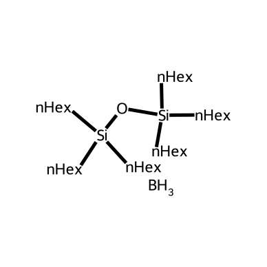 B.CCCCCC[Si](CCCCCC)(CCCCCC)O[Si](CCCCCC)(CCCCCC)CCCCCC